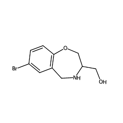 OCC1COc2ccc(Br)cc2CN1